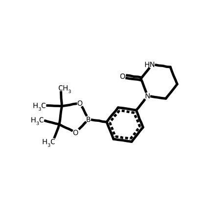 CC1(C)OB(c2cccc(N3CCCNC3=O)c2)OC1(C)C